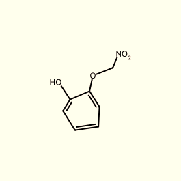 O=[N+]([O-])COc1ccccc1O